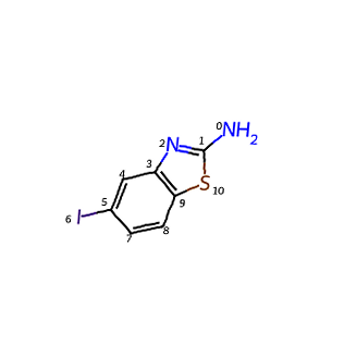 Nc1nc2cc(I)ccc2s1